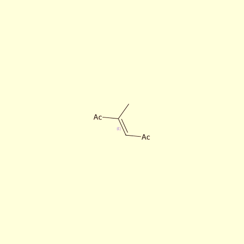 CC(=O)/C=C(\C)C(C)=O